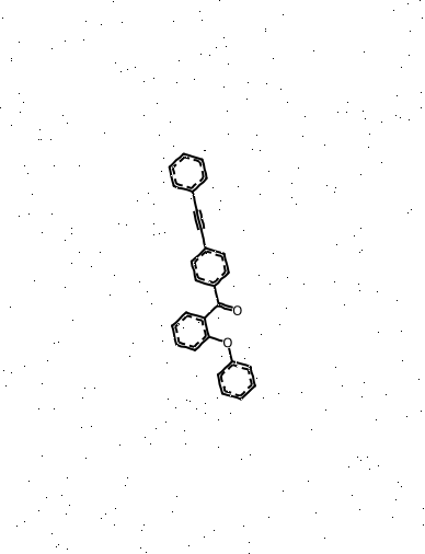 O=C(c1ccc(C#Cc2ccccc2)cc1)c1ccccc1Oc1ccccc1